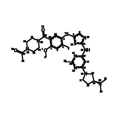 COc1cc(C)c(Sc2cnc(Nc3cc(N4CC[C@H](N(C)C)C4)nc(C)n3)s2)cc1C(=O)N1CCN(C(C)=O)CC1